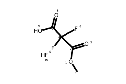 COC(=O)C(F)(F)C(=O)O.F